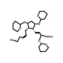 CCCCCC(/C=C/[C@@H]1[C@@H](C/C=C\CCC(C)=O)[C@@H](OC2CCCCO2)C[C@H]1OC1CCCCO1)O[C@H]1CCCCO1